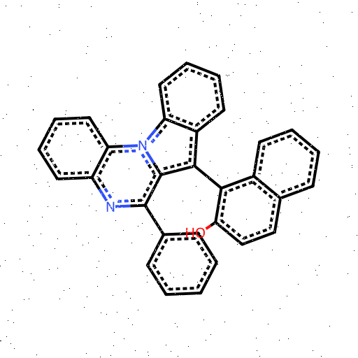 Oc1ccc2ccccc2c1-c1c2ccccc2n2c1c(-c1ccccc1)nc1ccccc12